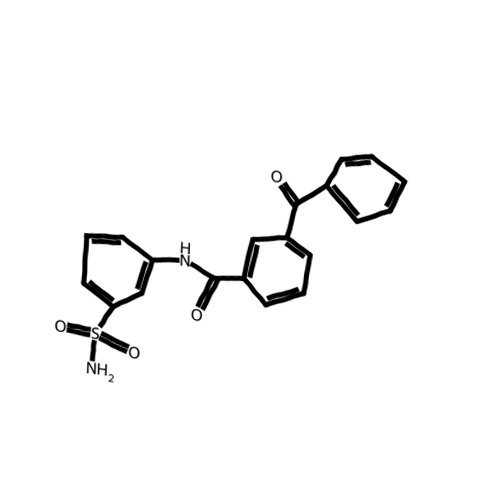 NS(=O)(=O)c1cccc(NC(=O)c2cccc(C(=O)c3ccccc3)c2)c1